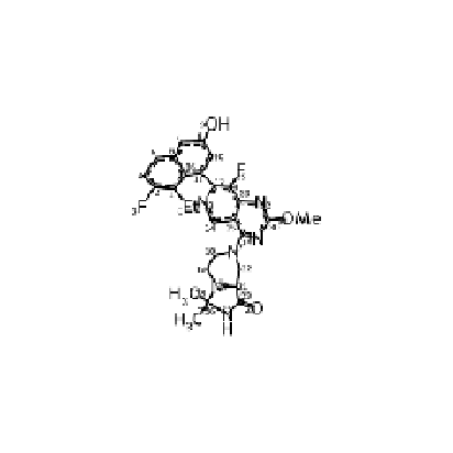 CCc1c(F)ccc2cc(O)cc(-c3ncc4c(N5CCN6C(C5)C(=O)NC6(C)C)nc(OC)nc4c3F)c12